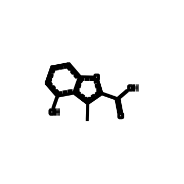 Cc1c(C(=O)O)oc2cccc(O)c12